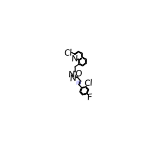 Fc1ccc(/C=C/c2nnc(Cc3cccc4ccc(Cl)nc34)o2)c(Cl)c1